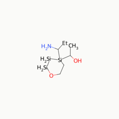 CCC(N)[Si]1(C(C)O)CCO[SiH2][SiH2]1